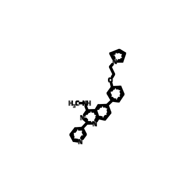 CNc1nc(-c2cccnc2)nc2ccc(-c3cccc(OCCn4cccc4)c3)cc12